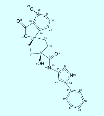 O=C1O[C@]2(CC[C@@](O)(C(=O)Nc3cnn(-c4ccccc4)c3)CC2)c2ccc[n+]([O-])c21